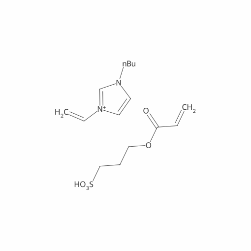 C=CC(=O)OCCCS(=O)(=O)O.C=C[n+]1ccn(CCCC)c1